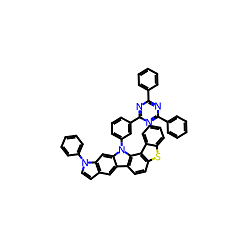 c1ccc(-c2nc(-c3ccccc3)nc(-c3cccc(-n4c5cc6c(ccn6-c6ccccc6)cc5c5ccc6sc7ccccc7c6c54)c3)n2)cc1